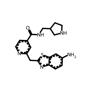 Nc1ccc2nc(Cc3cc(C(=O)NCC4CCNC4)ccn3)sc2c1